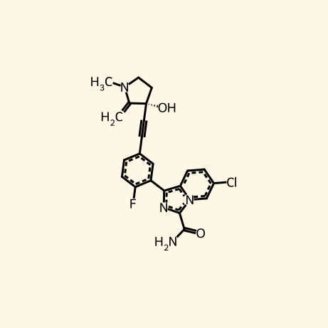 C=C1N(C)CC[C@@]1(O)C#Cc1ccc(F)c(-c2nc(C(N)=O)n3cc(Cl)ccc23)c1